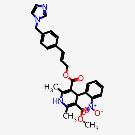 COC(=O)C1=C(C)NC(C)=C(C(=O)OCC=Cc2ccc(Cn3ccnc3)cc2)C1c1ccccc1[N+](=O)[O-]